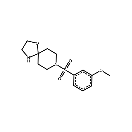 COc1cccc(S(=O)(=O)N2CCC3(CC2)NCCO3)c1